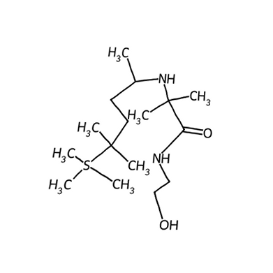 CC(CCC(C)(C)S(C)(C)C)NC(C)(C)C(=O)NCCO